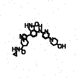 O=C1NCc2c(-c3cnn4c3CCC(C(=O)NC3CC3)C4)ccc(Nc3ccc(N4CCC(O)CC4)cn3)c21